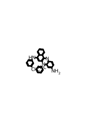 Cc1cccc(Nc2cc3c(c4ccccc24)N=C2C=CC(N)=CC2(C)N3c2ccccc2)c1